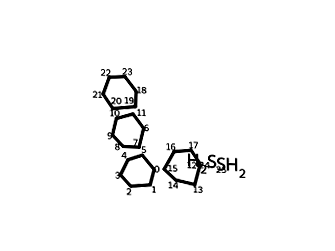 C1CCCCC1.C1CCCCC1.C1CCCCC1.C1CCCCC1.S.S